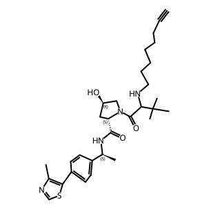 C#CCCCCCCNC(C(=O)N1C[C@H](O)C[C@H]1C(=O)N[C@@H](C)c1ccc(-c2scnc2C)cc1)C(C)(C)C